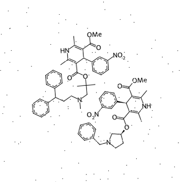 COC(=O)C1=C(C)NC(C)=C(C(=O)OC(C)(C)CN(C)CCC(c2ccccc2)c2ccccc2)C1c1cccc([N+](=O)[O-])c1.COC(=O)C1=C(C)NC(C)=C(C(=O)O[C@H]2CCN(Cc3ccccc3)C2)[C@H]1c1cccc([N+](=O)[O-])c1